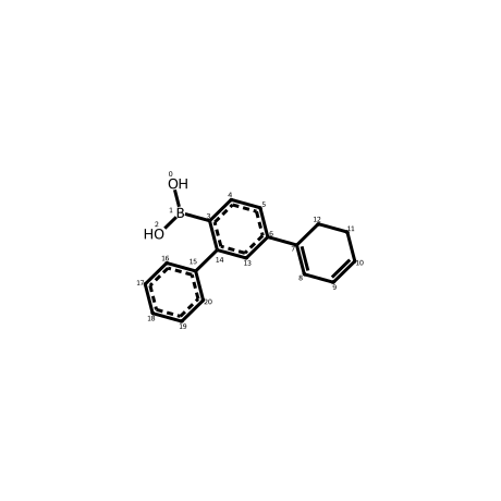 OB(O)c1ccc(C2=CC=CCC2)cc1-c1ccccc1